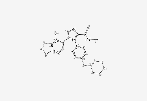 CC(C)NC(=O)c1nnc(-c2ccc3c(c2O)CCO3)n1-c1ccc(CN2CCOCC2)cc1